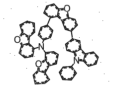 c1ccc(-n2c3ccccc3c3cc(-c4ccc5oc6cccc(-c7ccc(N(c8cccc9c8oc8ccccc89)c8cccc9oc%10ccccc%10c89)cc7)c6c5c4)ccc32)cc1